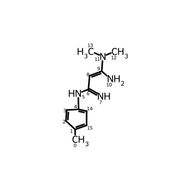 Cc1ccc(NC(=N)/C=C(\N)N(C)C)cc1